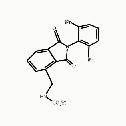 CCOC(=O)NCc1cccc2c1C(=O)N(c1c(C(C)C)cccc1C(C)C)C2=O